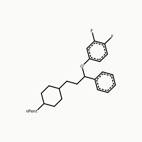 CCCCCC1CCC(CCC(Oc2ccc(F)c(F)c2)c2ccccc2)CC1